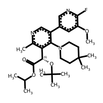 COc1cc(-c2cnc(C)c([C@H](OC(C)(C)C)C(=O)OC(C)C)c2N2CCC(C)(C)CC2)cnc1F